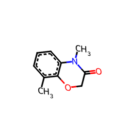 Cc1cccc2c1OCC(=O)N2C